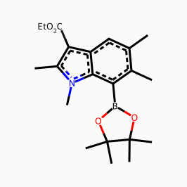 CCOC(=O)c1c(C)n(C)c2c(B3OC(C)(C)C(C)(C)O3)c(C)c(C)cc12